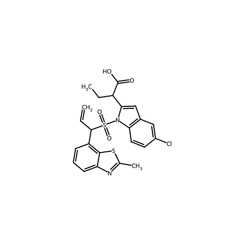 C=CC(c1cccc2nc(C)sc12)S(=O)(=O)n1c(C(CC)C(=O)O)cc2cc(Cl)ccc21